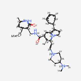 COc1cc(C)[nH]c(=O)c1CNC(=O)c1cc2c(-c3ccccc3)ccn2c(C=CN2CCC(N(C)C)CC2)c1C